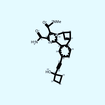 CNC(=O)c1c(C(N)=O)nc2n1C1C=C(C1)c1ccc(C#CC3(O)CCC3)cc1-2